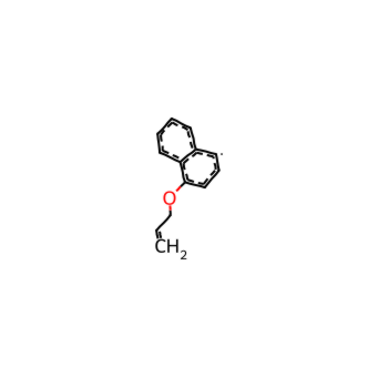 C=CCOc1cc[c]c2ccccc12